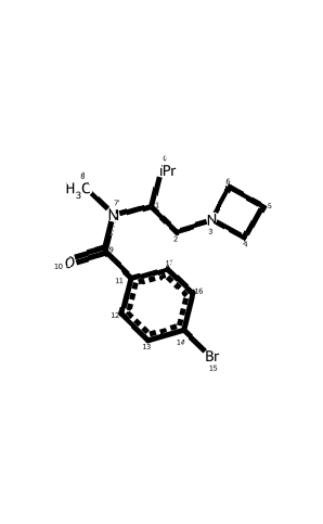 CC(C)C(CN1CCC1)N(C)C(=O)c1ccc(Br)cc1